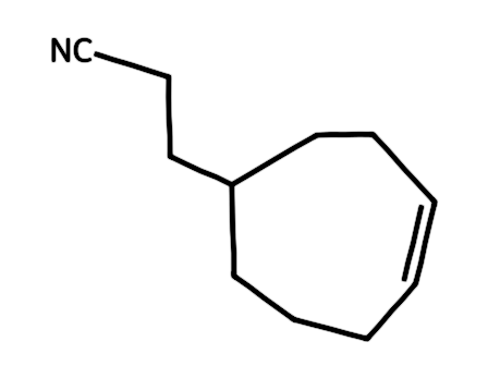 N#CCCC1CCC=CCCC1